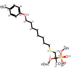 CCCCCCCCCCOC(CSCCCCCCCCOc1ccc(C(C)(C)C)cc1)(C(=O)O)P(=O)(O)OCCC